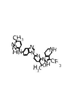 Cc1ccc(Nc2ccc3c(c2)ncn3-c2ccc(C(C)O)c(-n3nc(C(F)(F)F)c4c3CCNC4)n2)nn1